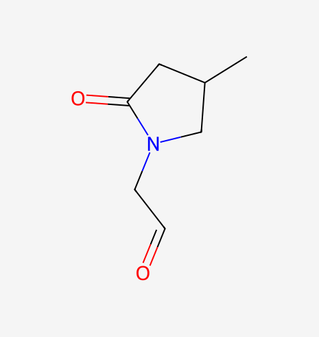 CC1CC(=O)N(CC=O)C1